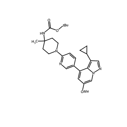 COc1cc(-c2ccc(N3CCC(C)(NC(=O)OC(C)(C)C)CC3)nc2)c2c(C3CC3)cnn2c1